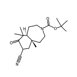 CC(C)(C)OC(=O)N1CC[C@@H]2C(C)(C)C(=O)C(C#N)C[C@@]2(C)CC1